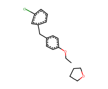 C1CCOC1.CCOc1ccc(Cc2cccc(Cl)c2)cc1